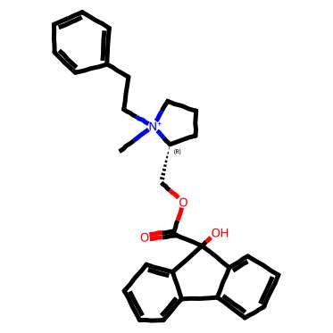 C[N+]1(CCc2ccccc2)CCC[C@@H]1COC(=O)C1(O)c2ccccc2-c2ccccc21